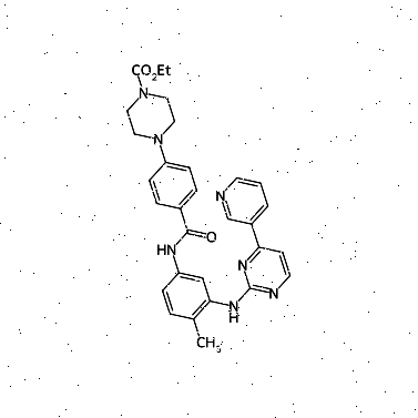 CCOC(=O)N1CCN(c2ccc(C(=O)Nc3ccc(C)c(Nc4nccc(-c5cccnc5)n4)c3)cc2)CC1